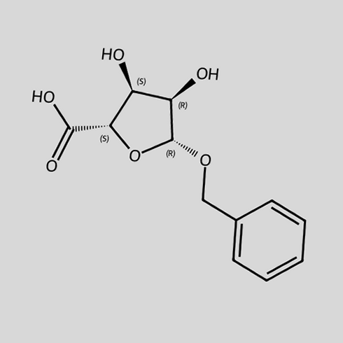 O=C(O)[C@H]1O[C@@H](OCc2ccccc2)[C@H](O)[C@@H]1O